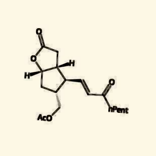 CCCCCC(=O)/C=C/[C@H]1[C@H](COC(C)=O)C[C@@H]2OC(=O)C[C@H]12